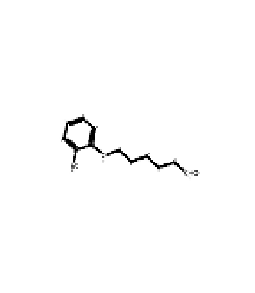 CCc1ccccc1OCCCCCC=O